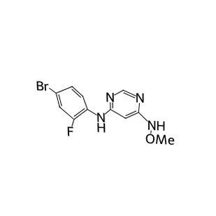 CONc1cc(Nc2ccc(Br)cc2F)ncn1